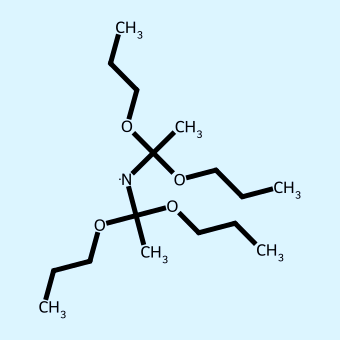 CCCOC(C)([N]C(C)(OCCC)OCCC)OCCC